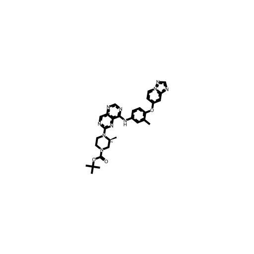 Cc1cc(Nc2ncnc3cnc(N4CCN(C(=O)OC(C)(C)C)C[C@@H]4C)nc23)ccc1Oc1ccn2ncnc2c1